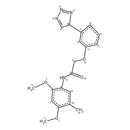 COc1cc(OC)c(NC(=O)COc2cccc(C3C=NN=N3)c2)cc1C